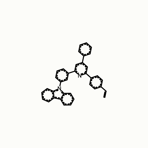 C=Cc1ccc(-c2cc(-c3ccccc3)cc(-c3cccc(-n4c5ccccc5c5ccccc54)c3)n2)cc1